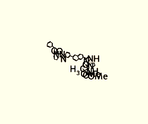 COC(=O)N[C@H](C(=O)N1CCC[C@H]1c1nc(-c2ccc3cc(-c4ccc5[nH]c([C@@H]6CCCN6C(=O)OCc6ccccc6)nc5c4)ccc3c2)c[nH]1)[C@@H](C)OC